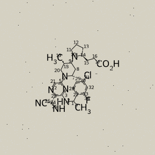 CC(Nc1nc(N2CC[C@H](N3CCC[C@H]3CCC(=O)O)[C@H](C)C2)cnc1C(=N)C#N)c1ccc(Cl)cc1F